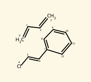 C=CC=C.ClC=Cc1ccccc1